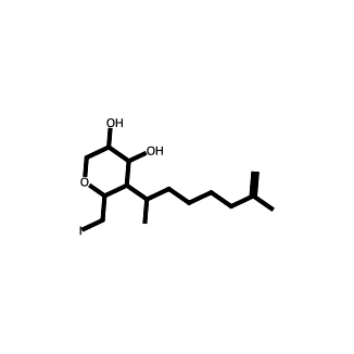 C=C(C)CCCCC(C)C1C(CI)OCC(O)C1O